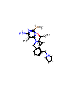 COC(=O)C1(N(Cc2cccc(CN3CCCC3)c2)c2nc(SC(C)C)nc(N)c2[N+](=O)[O-])CC1